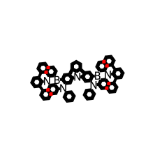 c1ccc(-c2cccc(-c3ccccc3)c2N2c3ccccc3B3c4cc5c6cccc7c8cc9c(cc8n(c5cc4N(c4ccccc4)c4cccc2c43)c67)N(c2ccccc2)c2cccc3c2B9c2ccccc2N3c2c(-c3ccccc3)cccc2-c2ccccc2)cc1